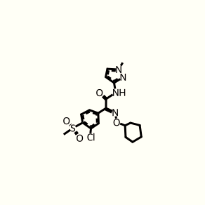 Cn1ccc(NC(=O)/C(=N/OC2CCCCC2)c2ccc(S(C)(=O)=O)c(Cl)c2)n1